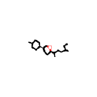 CCC(C)CCC(C)C1CC[C@@H](C2CCC(C)CC2)CO1